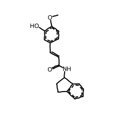 COc1ccc(C=CC(=O)NC2CCc3ccccc32)cc1O